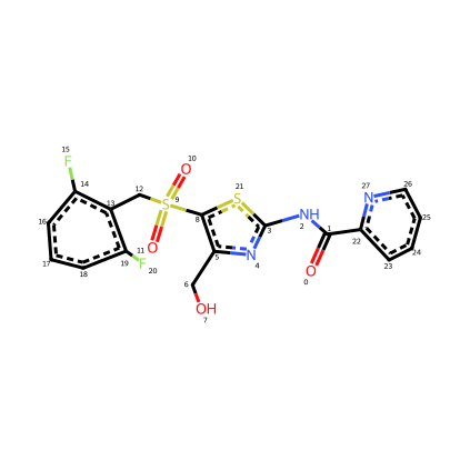 O=C(Nc1nc(CO)c(S(=O)(=O)Cc2c(F)cccc2F)s1)c1ccccn1